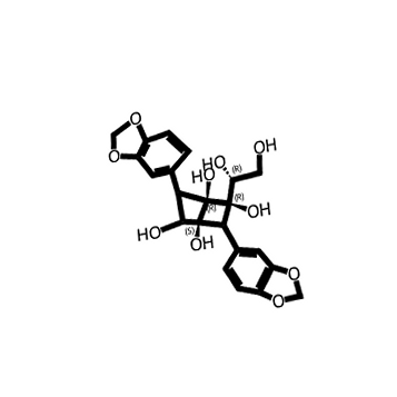 OC[C@@H](O)[C@]1(O)C(c2ccc3c(c2)OCO3)[C@]2(O)C(O)C(c3ccc4c(c3)OCO4)[C@@]21O